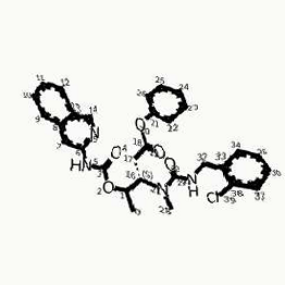 CC(OC(=O)Nc1cc2ccccc2cn1)[C@H](CC(=O)Oc1ccccc1)N(C)C(=O)NCc1ccccc1Cl